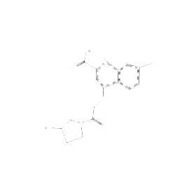 Cc1ccc2c(OCC(=O)N3CCC(O)C3)cc(C(=O)O)nc2c1